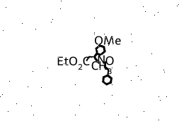 CCOC(=O)Cc1c(C)n(C(=O)/C=C/c2ccccc2)c2ccc(OC)cc12